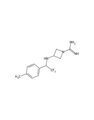 Cc1ccc(C(NC2CN(C(=N)N)C2)C(F)(F)F)cc1